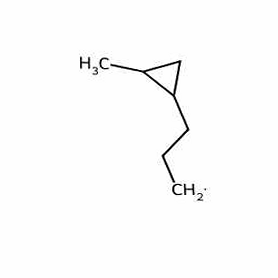 [CH2]CCC1CC1C